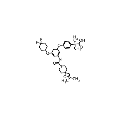 CC(C)CC1(O)CCN(C(=O)Nc2cc(Oc3ccc(C(C)(C)C(=O)O)cc3)cc(OC3CCC(F)(F)CC3)c2)CC1